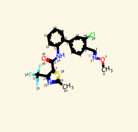 CO/N=C/c1ccc(-c2ccccc2NC(=O)c2sc(C)nc2C(F)(F)F)cc1Cl